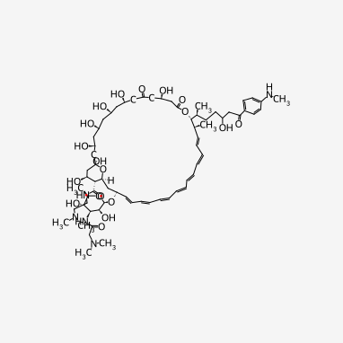 CNc1ccc(C(=O)CC(O)CC[C@H](C)[C@H]2OC(=O)C[C@H](O)CC(=O)C[C@H](O)C[C@H](O)C[C@H](O)C[C@H](O)C[C@]3(O)C[C@H](O)[C@@H](C(=O)NCCN(C)C)[C@H](C[C@@H](O[C@@H]4O[C@H](C)[C@@H](O)[C@H](NC(=O)CN(C)C)[C@@H]4O)/C=C/C=C/C=C/C=C/C=C/C=C/C=C/[C@@H]2C)O3)cc1